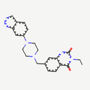 CCn1c(=O)[nH]c2cc(CN3CCN(c4ccc5cn[nH]c5c4)CC3)ccc2c1=O